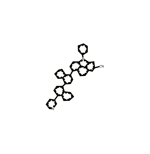 N#Cc1cc2ccc3c(-c4ccc(-c5ccc(-c6cccnc6)c6ccccc56)c5ccccc45)ccc4c3c2c(c1)n4-c1ccccc1